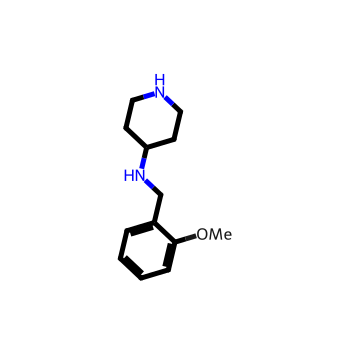 COc1ccccc1CNC1CCNCC1